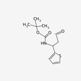 CC(C)(C)OC(=O)NC(C[C]=O)c1cccs1